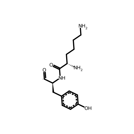 NCCCC[C@H](N)C(=O)N[C@H]([C]=O)Cc1ccc(O)cc1